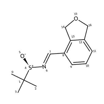 CC(C)(C)[S@@+]([O-])/N=C/c1cccc2c1COC2